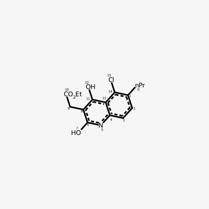 CCCc1ccc2nc(O)c(CC(=O)OCC)c(O)c2c1Cl